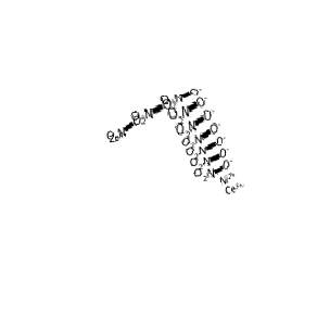 O=[N+]([O-])[O-].O=[N+]([O-])[O-].O=[N+]([O-])[O-].O=[N+]([O-])[O-].O=[N+]([O-])[O-].O=[N+]([O-])[O-].O=[N+]([O-])[O-].O=[N+]([O-])[O-].O=[N+]([O-])[O-].[Ce+3].[Ni+2].[Zr+4]